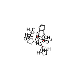 COC(=O)N(CCN1[C@@H]2CC[C@H]1C[C@H](NC(=O)c1cc3ccccc3n(C(C)C)c1=O)C2)C1CCS(=O)(=O)C1